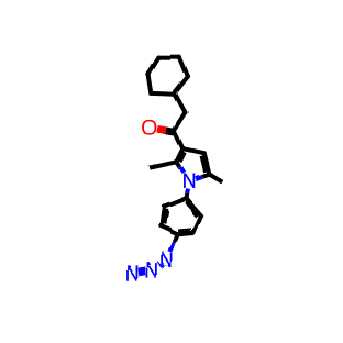 Cc1cc(C(=O)CC2CCCCC2)c(C)n1-c1ccc(N=[N+]=[N-])cc1